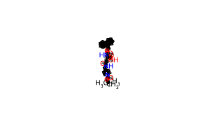 CC(C)(C)OC(=O)N1CCC(CNC(=O)CC[C@H](NC(=O)OCC2c3ccccc3-c3ccccc32)C(=O)O)CC1